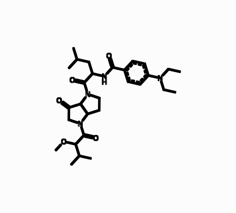 CCN(CC)c1ccc(C(=O)NC(CC(C)C)C(=O)N2CCC3C2C(=O)CN3C(=O)C(OC)C(C)C)cc1